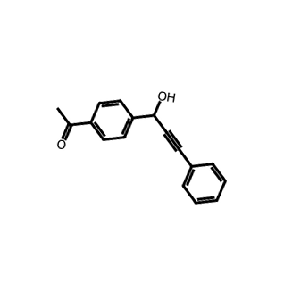 CC(=O)c1ccc(C(O)C#Cc2ccccc2)cc1